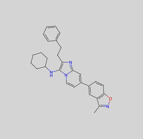 Cc1noc2ccc(-c3ccn4c(NC5CCCCC5)c(CCc5ccccc5)nc4c3)cc12